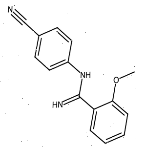 COc1ccccc1C(=N)Nc1ccc(C#N)cc1